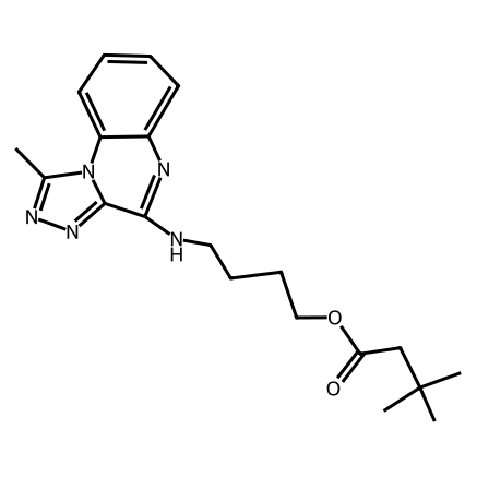 Cc1nnc2c(NCCCCOC(=O)CC(C)(C)C)nc3ccccc3n12